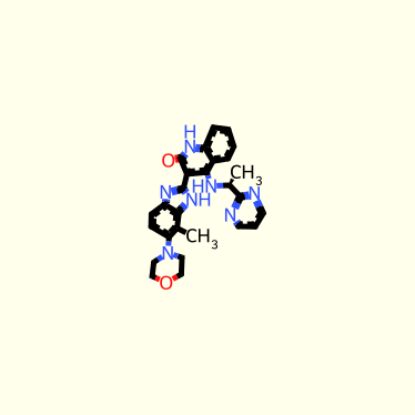 Cc1c(N2CCOCC2)ccc2nc(-c3c(N[C@@H](C)c4ncccn4)c4ccccc4[nH]c3=O)[nH]c12